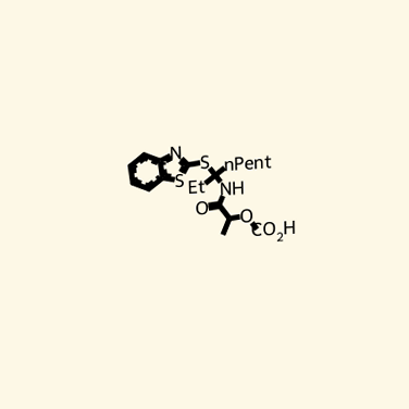 CCCCCC(CC)(NC(=O)C(C)OC(=O)O)Sc1nc2ccccc2s1